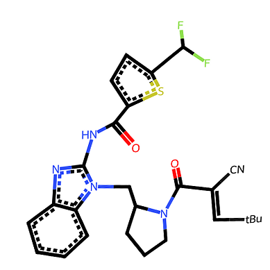 CC(C)(C)C=C(C#N)C(=O)N1CCCC1Cn1c(NC(=O)c2ccc(C(F)F)s2)nc2ccccc21